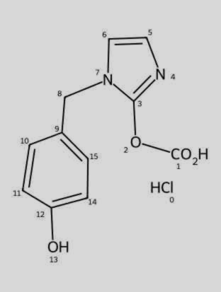 Cl.O=C(O)Oc1nccn1Cc1ccc(O)cc1